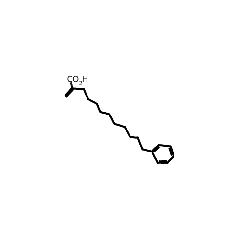 C=C(CCCCCCCCCCc1ccccc1)C(=O)O